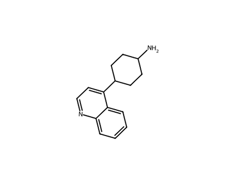 NC1CCC(c2ccnc3ccccc23)CC1